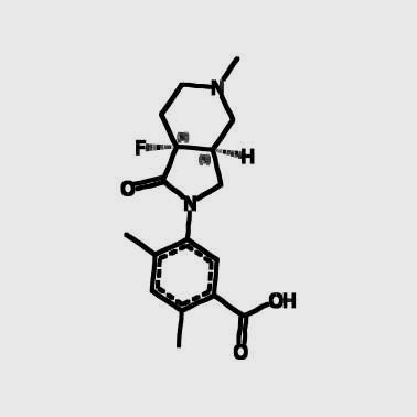 Cc1cc(C)c(N2C[C@@H]3CN(C)CC[C@]3(F)C2=O)cc1C(=O)O